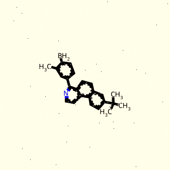 Bc1ccc(-c2nccc3c2ccc2cc(C(C)(C)C)ccc23)cc1C